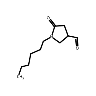 CCCCCCN1CC(C=O)CC1=O